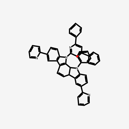 C1=CC2c3cc(-c4ccccn4)ccc3N(c3ccccc3)C2c2c1c1cc(-c3ccccn3)ccc1n2-c1nc(-c2ccccc2)cc(-c2ccccc2)n1